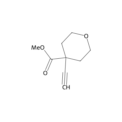 C#CC1(C(=O)OC)CCOCC1